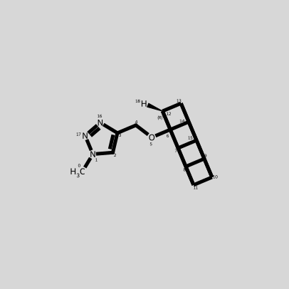 Cn1cc(COC23C4C5C6C7C5[C@@H]2C7C3C64)nn1